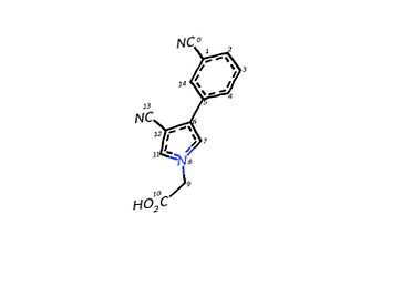 N#Cc1cccc(-c2cn(CC(=O)O)cc2C#N)c1